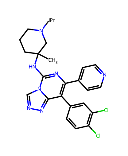 CC(C)N1CCCC(C)(Nc2nc(-c3ccncc3)c(-c3ccc(Cl)c(Cl)c3)c3nncn23)C1